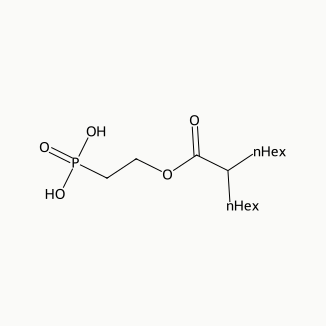 CCCCCCC(CCCCCC)C(=O)OCCP(=O)(O)O